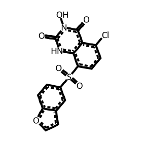 O=c1[nH]c2c(S(=O)(=O)c3ccc4occc4c3)ccc(Cl)c2c(=O)n1O